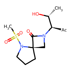 CC(=O)[C@H]([C@@H](C)O)N1C[C@]2(CCCN2S(C)(=O)=O)C1=O